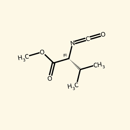 COC(=O)[C@H](N=C=O)C(C)C